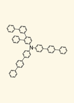 c1ccc(-c2ccc(-c3ccc(N(c4ccc(-c5ccc(-c6ccccc6)cc5)cc4)c4ccc(-c5cccc(-c6ccccc6)c5)c(-c5ccccc5)c4)cc3)cc2)cc1